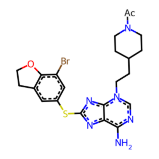 CC(=O)N1CCC(CCn2cnc(N)c3nc(Sc4cc(Br)c5c(c4)CCO5)nc2-3)CC1